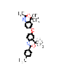 CC1=Nc2ccc(Oc3ccc4c(c3)C(C(F)(F)F)(C(F)(F)F)OC(c3ccc(C)cc3)=N4)cc2C(C(F)(F)F)(C(F)(F)F)O1